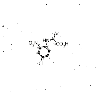 CC(=O)C(Nc1ccc(Cl)cc1[N+](=O)[O-])C(=O)O